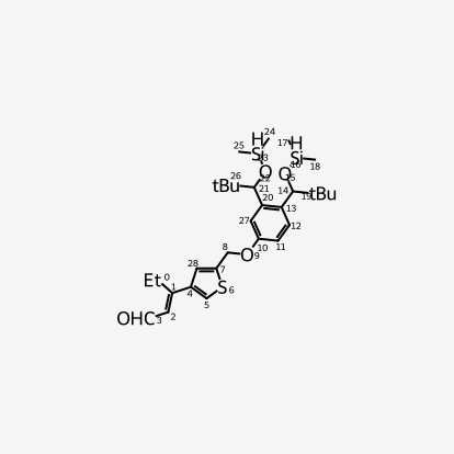 CCC(=CC=O)c1csc(COc2ccc(C(O[SiH](C)C)C(C)(C)C)c(C(O[SiH](C)C)C(C)(C)C)c2)c1